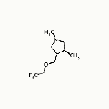 C[C@@H]1CN(C)C[C@@H]1COCC(F)(F)F